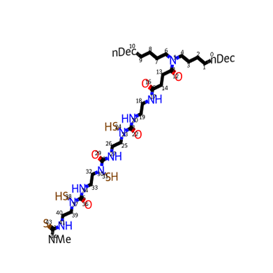 CCCCCCCCCCCCCCN(CCCCCCCCCCCCCC)C(=O)CCC(=O)NCCNC(=O)N(S)CCNC(=O)N(S)CCNC(=O)N(S)CCNC(=S)NC